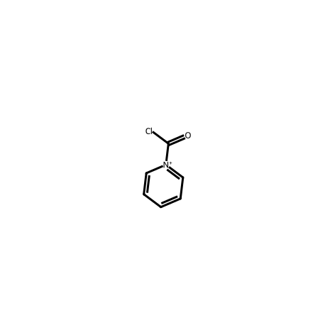 O=C(Cl)[n+]1ccccc1